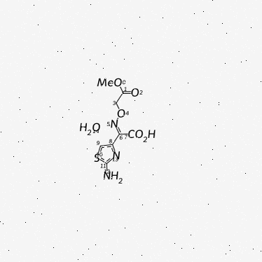 COC(=O)CON=C(C(=O)O)c1csc(N)n1.O